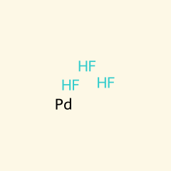 F.F.F.[Pd]